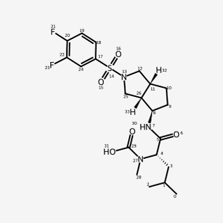 CC(C)C[C@@H](C(=O)N[C@@H]1CC[C@H]2CN(S(=O)(=O)c3ccc(F)c(F)c3)C[C@H]21)N(C)C(=O)O